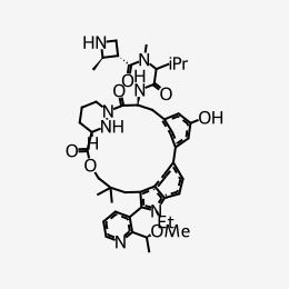 CCn1c(-c2cccnc2[C@H](C)OC)c2c3cc(ccc31)-c1cc(O)cc(c1)C[C@H](NC(=O)C(C(C)C)N(C)C(=O)[C@H]1CN[C@@H]1C)C(=O)N1CCC[C@H](N1)C(=O)OCC(C)(C)C2